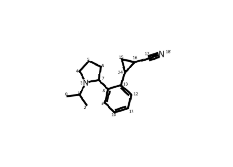 CC(C)N1CCCC1c1ccccc1C1CC1C#N